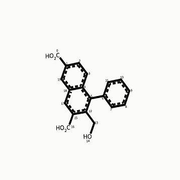 O=C(O)c1ccc2c(-c3ccccc3)c(CO)c(C(=O)O)cc2c1